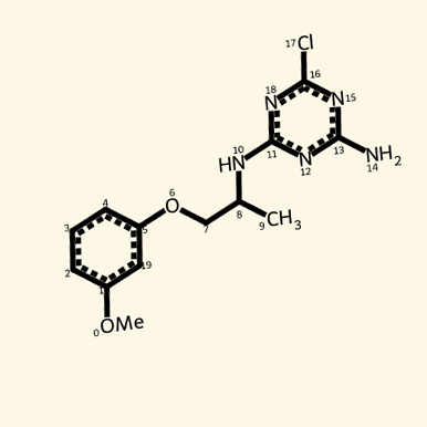 COc1cccc(OCC(C)Nc2nc(N)nc(Cl)n2)c1